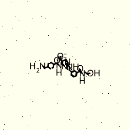 NCC1CCC(CNc2nc(NCc3cccc(C(=O)NCCO)c3)ncc2[N+](=O)[O-])CC1